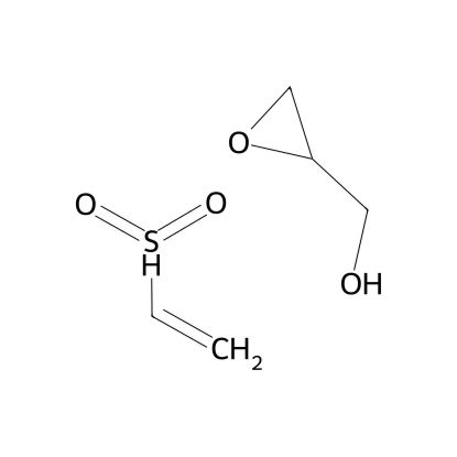 C=C[SH](=O)=O.OCC1CO1